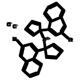 CCc1cc([C]2([Zr+2][C]3(c4cc(CC)cc5ccccc45)C=CC=C3)C=CC=C2)c2ccccc2c1.[Cl-].[Cl-]